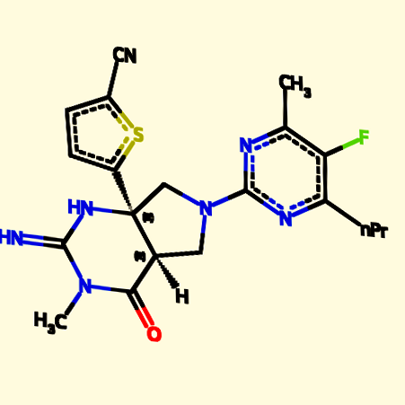 CCCc1nc(N2C[C@H]3C(=O)N(C)C(=N)N[C@@]3(c3ccc(C#N)s3)C2)nc(C)c1F